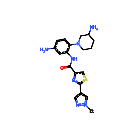 CCn1cc(-c2nc(C(=O)Nc3cc(N)ccc3N3CCCC(N)C3)cs2)cn1